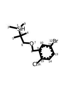 C[SiH](C)C(C)(C)COCc1cc(Br)ccc1Cl